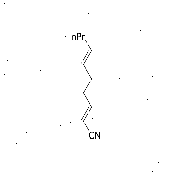 CCC/C=C/CC/C=C/C#N